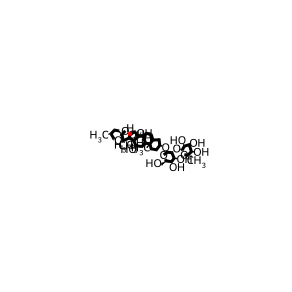 C[C@@H]1CC[C@@]2(OC1)O[C@H]1C[C@@]3(O)[C@@H]4CC=C5C[C@@H](O[C@@H]6O[C@H](CO)[C@@H](O)[C@H](O)[C@H]6O[C@@H]6O[C@@H](C)[C@H](O)[C@@H](O)[C@H]6O)CC[C@]5(C)[C@H]4C[C@H](O)[C@]3(C)[C@@]1(O)[C@@H]2C